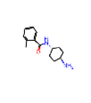 Cc1ccccc1C(=O)N[C@H]1CC[C@H](N)CC1